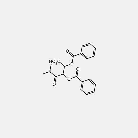 CN(C)C(=O)C(OC(=O)c1ccccc1)C(OC(=O)c1ccccc1)C(=O)O